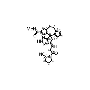 CNC(=O)c1cc2c(s1)CCc1sccc1C2(CCNCC(=O)N1CCC[C@H]1C#N)c1nn[nH]n1